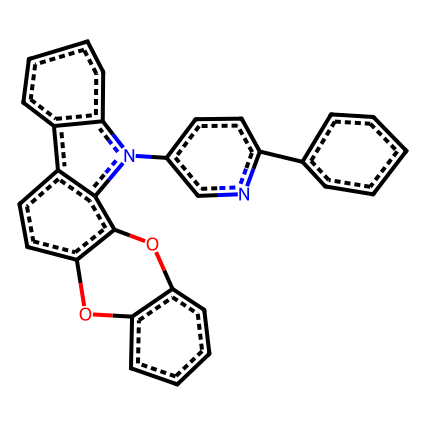 c1ccc(-c2ccc(-n3c4ccccc4c4ccc5c(c43)Oc3ccccc3O5)cn2)cc1